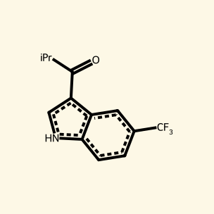 CC(C)C(=O)c1c[nH]c2ccc(C(F)(F)F)cc12